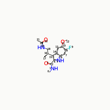 CNC(=O)c1[nH]c2cc(F)c(OC)cc2c1[C@@H](C)CNC(C)=O